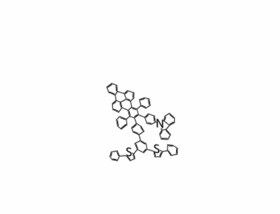 c1ccc(-c2ccc(-c3cc(-c4ccc(-c5c(-c6ccc(-n7c8ccccc8c8ccccc87)cc6)c(-c6ccccc6)c6c7cccc8c9ccccc9c9cccc(c6c5-c5ccccc5)c9c87)cc4)cc(-c4ccc(-c5ccccc5)s4)c3)s2)cc1